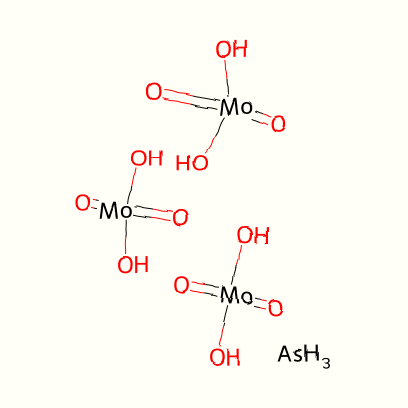 [AsH3].[O]=[Mo](=[O])([OH])[OH].[O]=[Mo](=[O])([OH])[OH].[O]=[Mo](=[O])([OH])[OH]